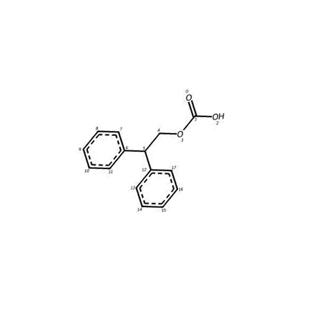 O=C(O)OCC(c1ccccc1)c1ccccc1